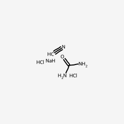 C#N.Cl.Cl.NC(N)=O.[NaH]